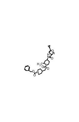 CC1CC(NC(=O)c2cc(C3CC3)on2)CCN1S(=O)(=O)CC1CCN(C(=O)OCc2ccccc2)CC1